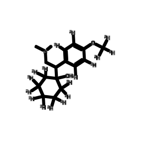 [2H]c1c([2H])c(C(CN(C)C)C2(O)C([2H])([2H])C([2H])([2H])C([2H])([2H])C([2H])([2H])C2([2H])[2H])c([2H])c([2H])c1OC([2H])([2H])[2H]